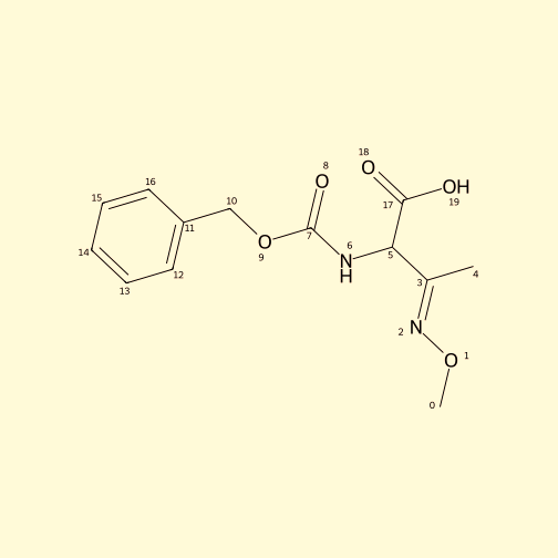 CON=C(C)C(NC(=O)OCc1ccccc1)C(=O)O